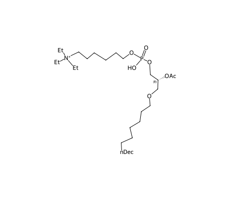 CCCCCCCCCCCCCCCCOC[C@H](COP(=O)(O)OCCCCCC[N+](CC)(CC)CC)OC(C)=O